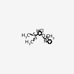 CCCSC(SCCC)c1cccc(OCc2nc3ccccc3n2C)c1.Cl